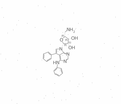 NC[C@H]1O[C@@H](n2cc(-c3ccccc3)c3c(Nc4ccccc4)ncnc32)[C@@H](O)[C@H]1O